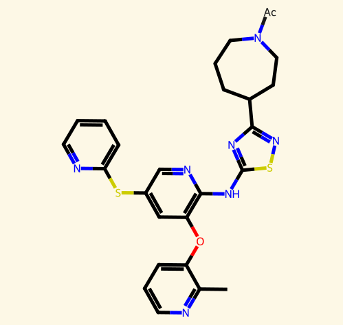 CC(=O)N1CCCC(c2nsc(Nc3ncc(Sc4ccccn4)cc3Oc3cccnc3C)n2)CC1